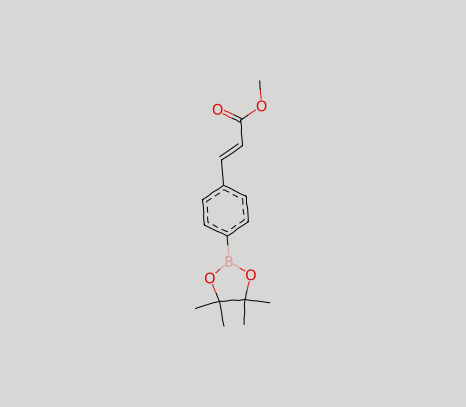 COC(=O)C=Cc1ccc(B2OC(C)(C)C(C)(C)O2)cc1